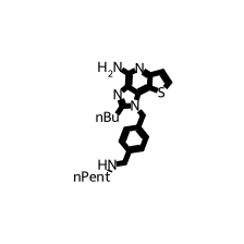 CCCCCNCc1ccc(Cn2c(CCCC)nc3c(N)nc4ccsc4c32)cc1